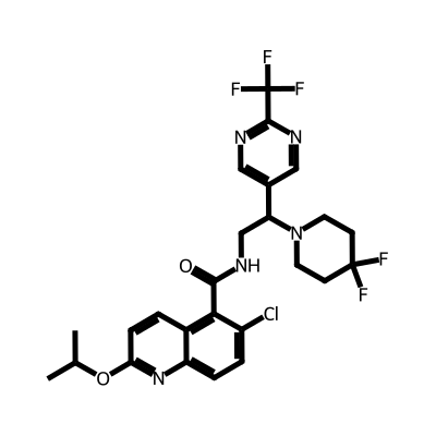 CC(C)Oc1ccc2c(C(=O)NCC(c3cnc(C(F)(F)F)nc3)N3CCC(F)(F)CC3)c(Cl)ccc2n1